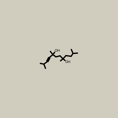 CC(C)C#CC(C)(O)CCC(C)(O)CCC(C)C